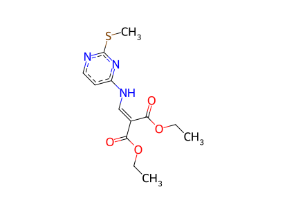 CCOC(=O)C(=CNc1ccnc(SC)n1)C(=O)OCC